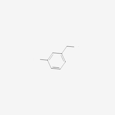 CC(=O)OCc1cccc(C)c1